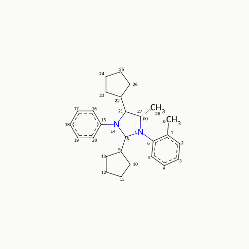 Cc1ccccc1N1C(C2CCCC2)N(c2ccccc2)C(C2CCCC2)[C@@H]1C